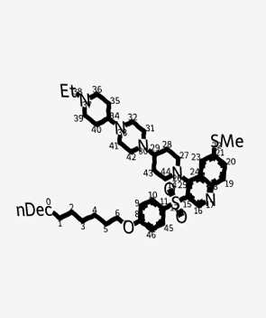 CCCCCCCCCCCCCCCCOc1ccc(S(=O)(=O)c2cnc3ccc(SC)cc3c2N2CCC(N3CCN(C4CCN(CC)CC4)CC3)CC2)cc1